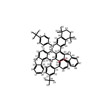 CC(C)(C)c1ccc(N2B3c4ccc5sc6ccccc6c5c4N(c4ccc(C(C)(C)C)cc4-c4ccccc4)c4cc5c(oc6ccccc65)c(c43)-c3cc4c(cc32)C(C)(C)CCC4(C)C)cc1